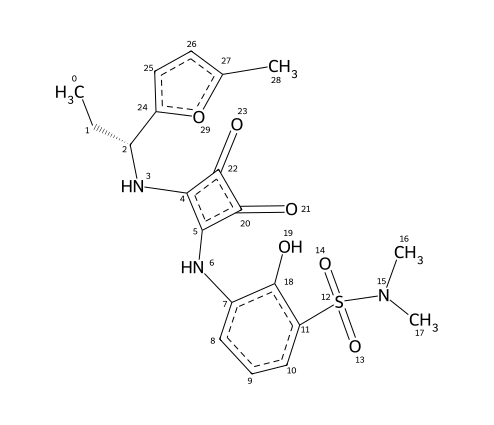 CC[C@@H](Nc1c(Nc2cccc(S(=O)(=O)N(C)C)c2O)c(=O)c1=O)c1ccc(C)o1